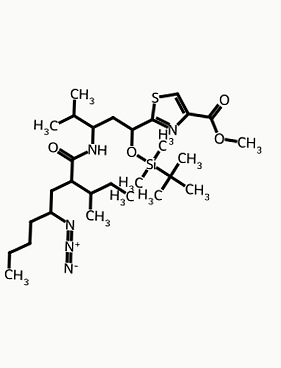 CCCCC(CC(C(=O)NC(CC(O[Si](C)(C)C(C)(C)C)c1nc(C(=O)OC)cs1)C(C)C)C(C)CC)N=[N+]=[N-]